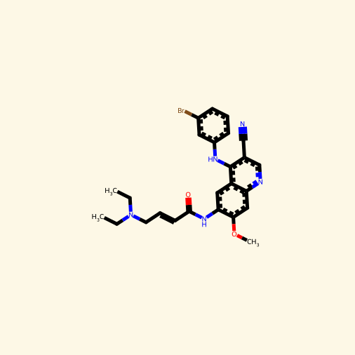 CCN(CC)CC=CC(=O)Nc1cc2c(Nc3cccc(Br)c3)c(C#N)cnc2cc1OC